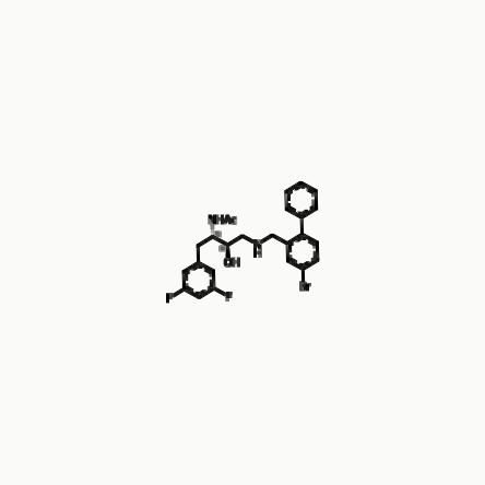 CC(=O)N[C@@H](Cc1cc(F)cc(F)c1)[C@H](O)CNCc1cc(Br)ccc1-c1ccccc1